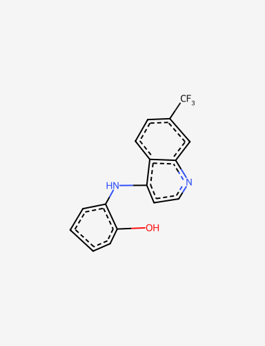 Oc1ccccc1Nc1ccnc2cc(C(F)(F)F)ccc12